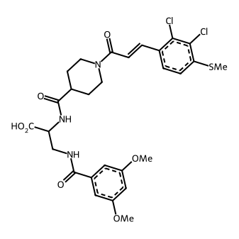 COc1cc(OC)cc(C(=O)NCC(NC(=O)C2CCN(C(=O)C=Cc3ccc(SC)c(Cl)c3Cl)CC2)C(=O)O)c1